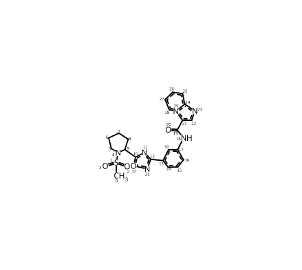 CS(=O)(=O)N1CCCCC1c1nc(-c2cccc(NC(=O)c3cnc4ccccn34)c2)no1